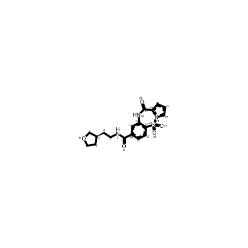 O=C(NCC[C@H]1CCOC1)c1ccc2c(c1)NC(=O)c1cccn1S2(=O)=O